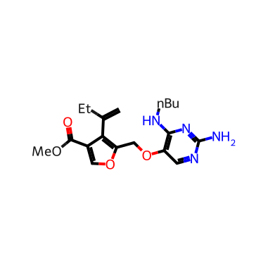 C=C(CC)c1c(C(=O)OC)coc1COc1cnc(N)nc1NCCCC